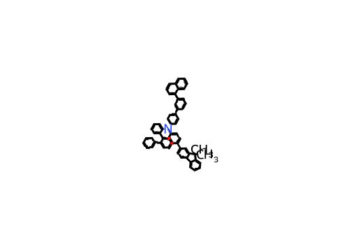 CC1(C)c2ccccc2-c2ccc(-c3ccc(N(c4ccc(-c5cccc(-c6cccc7ccccc67)c5)cc4)c4ccccc4-c4ccccc4-c4ccccc4)cc3)cc21